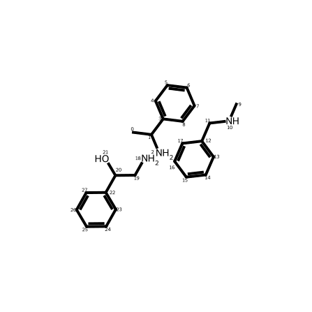 CC(N)c1ccccc1.CNCc1ccccc1.NCC(O)c1ccccc1